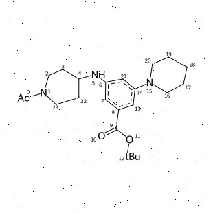 CC(=O)N1CCC(Nc2cc(C(=O)OC(C)(C)C)cc(N3CCCCC3)c2)CC1